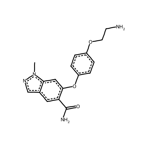 Cn1ncc2cc(C(N)=O)c(Oc3ccc(OCCN)cc3)cc21